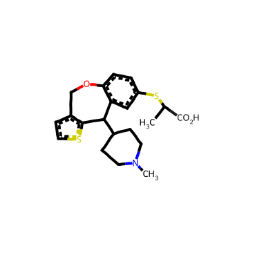 CC(Sc1ccc2c(c1)C(C1CCN(C)CC1)c1sccc1CO2)C(=O)O